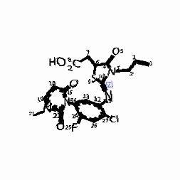 C=CCN1C(=O)C(CC(=O)O)S/C1=N\c1cc(-n2c(=O)ccn(C)c2=O)c(F)cc1Cl